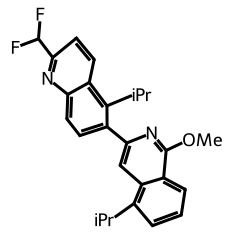 COc1nc(-c2ccc3nc(C(F)F)ccc3c2C(C)C)cc2c(C(C)C)cccc12